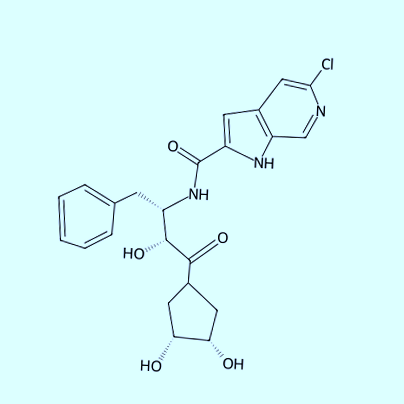 O=C(N[C@@H](Cc1ccccc1)[C@@H](O)C(=O)C1C[C@@H](O)[C@@H](O)C1)c1cc2cc(Cl)ncc2[nH]1